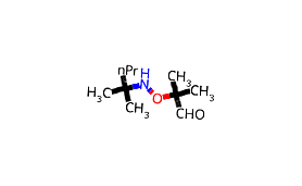 CCCC(C)(C)NOC(C)(C)C=O